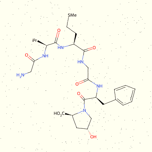 CSCC[C@H](NC(=O)[C@@H](NC(=O)CN)C(C)C)C(=O)NCC(=O)N[C@@H](Cc1ccccc1)C(=O)N1C[C@H](O)C[C@H]1C(=O)O